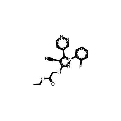 CCOC(=O)COc1nn(-c2ccccc2F)c(-c2ccnnc2)c1C#N